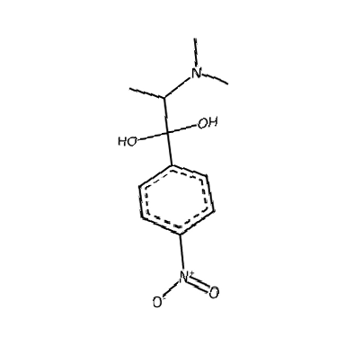 CC(N(C)C)C(O)(O)c1ccc([N+](=O)[O-])cc1